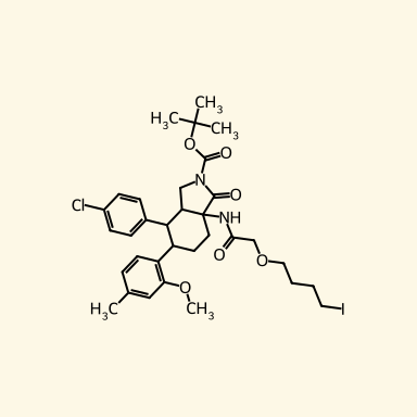 COc1cc(C)ccc1C1CCC2(NC(=O)COCCCCI)C(=O)N(C(=O)OC(C)(C)C)CC2C1c1ccc(Cl)cc1